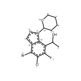 CC(O)c1c(F)c(Cl)c(Br)c2cnn(C3CCCCO3)c12